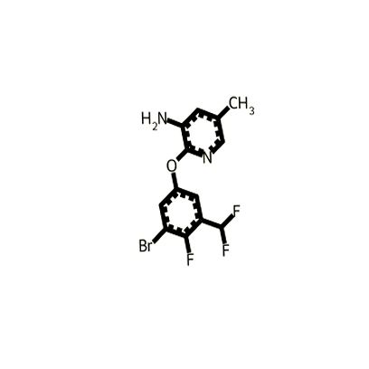 Cc1cnc(Oc2cc(Br)c(F)c(C(F)F)c2)c(N)c1